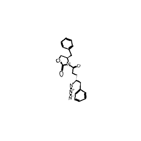 [N-]=[N+]=N[C@H](CCC(=O)N1C(=O)OC[C@H]1Cc1ccccc1)Cc1ccccc1